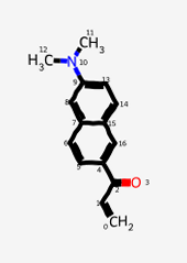 C=CC(=O)c1ccc2cc(N(C)C)ccc2c1